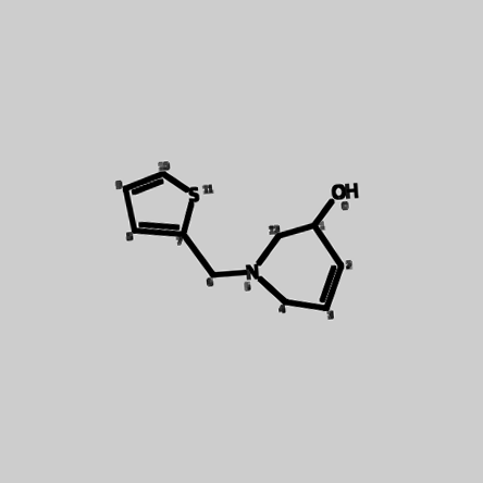 OC1C=CCN(Cc2cccs2)C1